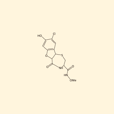 CONC(=O)C1CSC2c3cc(Cl)c(O)cc3OC2C(=O)N1